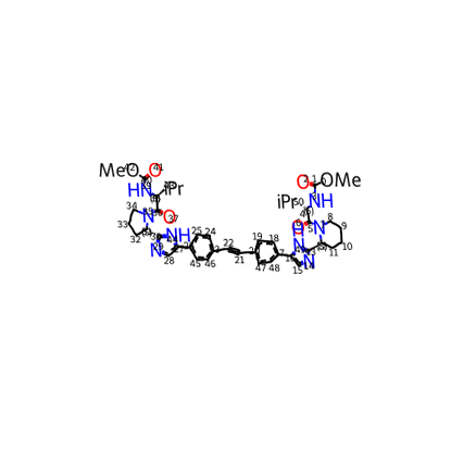 COC(=O)N[C@H](C(=O)N1CCCC[C@H]1c1ncc(-c2ccc(C#Cc3ccc(-c4cnc([C@@H]5CCCN5C(=O)[C@@H](NC(=O)OC)C(C)C)[nH]4)cc3)cc2)[nH]1)C(C)C